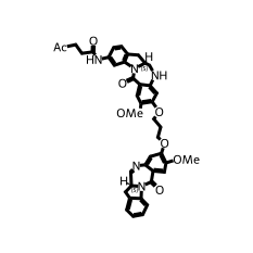 COc1cc2c(cc1OCCCOc1cc3c(cc1OC)C(=O)N1c4cc(NC(=O)CCC(C)=O)ccc4C[C@H]1CN3)N=C[C@@H]1Cc3ccccc3N1C2=O